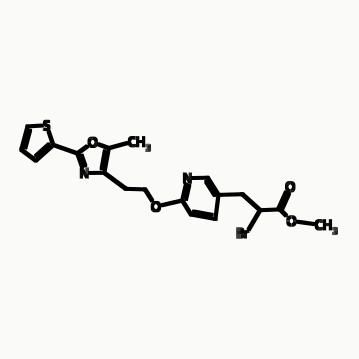 COC(=O)C(Br)Cc1ccc(OCCc2nc(-c3cccs3)oc2C)nc1